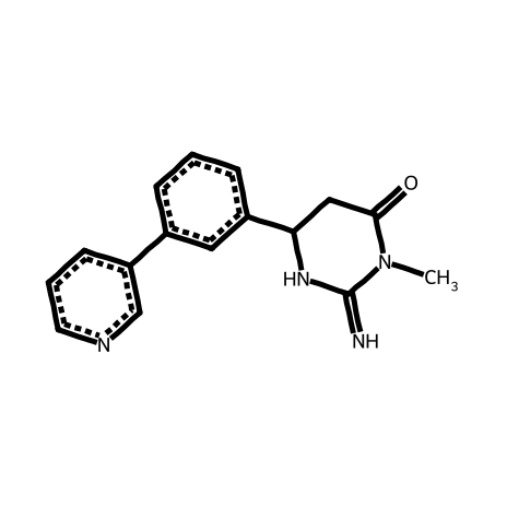 CN1C(=N)NC(c2cccc(-c3cccnc3)c2)CC1=O